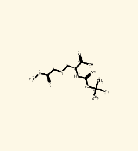 COC(=O)CSC[C@H](NC(=O)OC(C)(C)C)C(=O)O